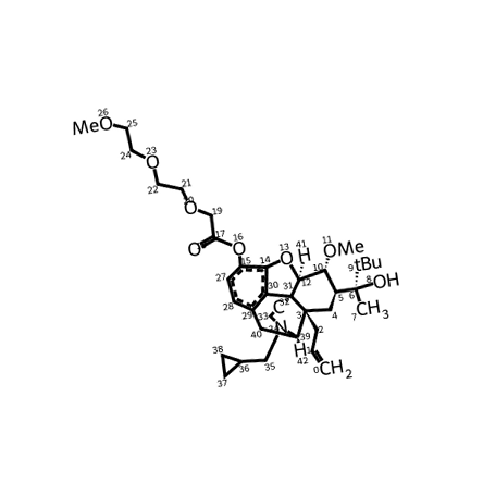 C=CC[C@]12C[C@H]([C@](C)(O)C(C)(C)C)[C@@H](OC)[C@@H]3Oc4c(OC(=O)COCCOCCOC)ccc5c4[C@@]31CCN(CC1CC1)[C@@H]2C5